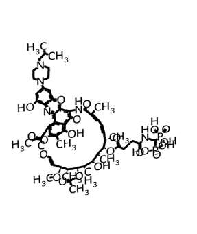 CCOc1c(C)c(O)c2c(=O)c3c4oc5cc(N6CCN(CC(C)C)CC6)cc(O)c5nc-4c2c1C(=O)CO/C=C/[C@H](OC)[C@@H](C)[C@@H](OC(C)=O)[C@H](C)[C@H](O)[C@H](C)[C@@H](OC(=O)CCC(=O)NC(P(=O)(O)O)P(=O)(O)O)[C@@H](C)/C=C/C=C(/C)C(=O)N3